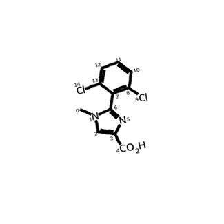 Cn1cc(C(=O)O)nc1-c1c(Cl)cccc1Cl